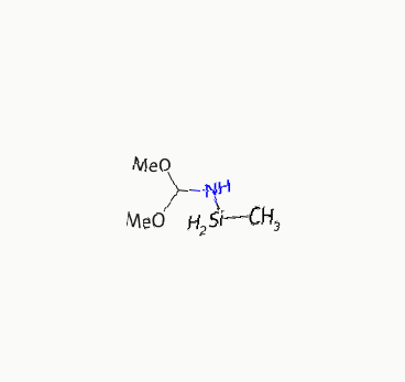 COC(N[SiH2]C)OC